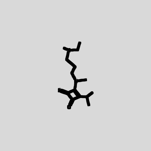 CCN(C)CCCN(C)c1c(C(C)C)c(=O)c1=S